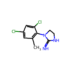 Cc1cc(Cl)cc(Cl)c1N1CCNC1=N